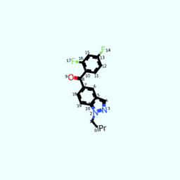 CC(C)Cn1ncc2cc(C(=O)c3ccc(F)cc3F)ccc21